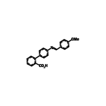 COc1ccc(/C=N/c2ccc(-c3ccccc3C(=O)O)cc2)cc1